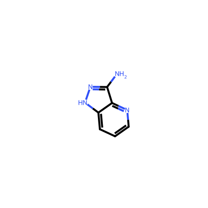 Nc1n[nH]c2cccnc12